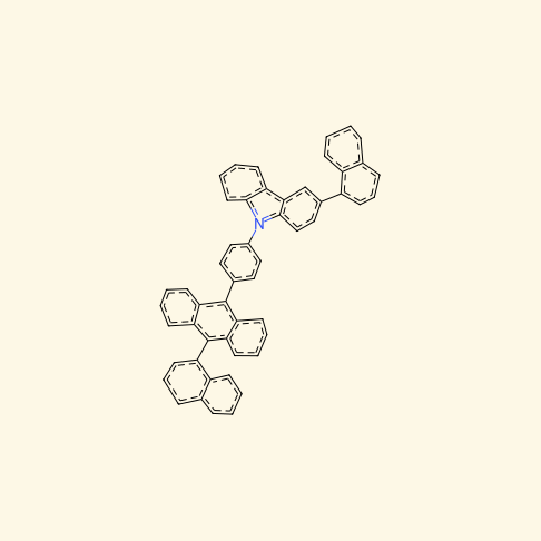 c1ccc2c(-c3ccc4c(c3)c3ccccc3n4-c3ccc(-c4c5ccccc5c(-c5cccc6ccccc56)c5ccccc45)cc3)cccc2c1